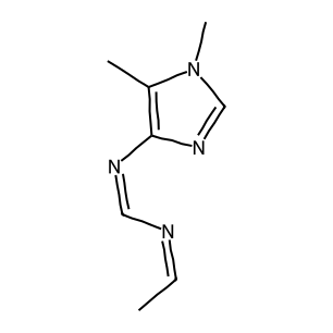 C/C=N\C=N/c1ncn(C)c1C